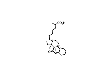 CC(CCC[C@@H](C)[C@H]1CC[C@H]2[C@@H]3C(=O)C=C4CCCC[C@]4(C)[C@H]3CC[C@]12C)C(=O)O